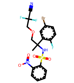 CC(COCC(F)(F)C#N)(NS(=O)(=O)c1ccccc1[N+](=O)[O-])c1cc(Br)ccc1F